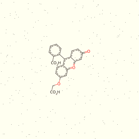 O=C(O)COc1ccc2c(-c3ccccc3C(=O)O)c3ccc(=O)cc-3oc2c1